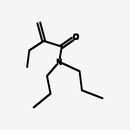 C=C(CC)C(=O)N(CCC)CCC